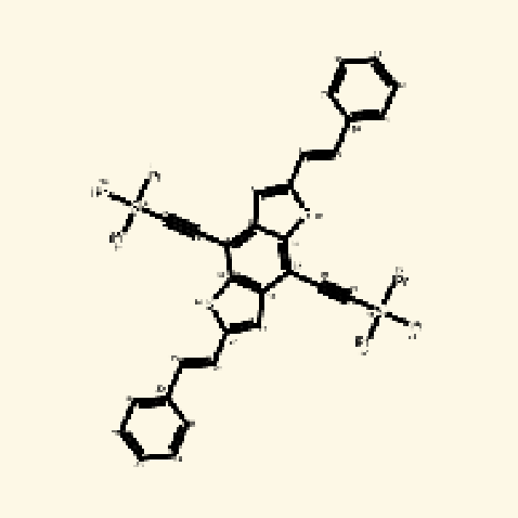 CC(C)[Si](C#Cc1c2cc(/C=C/c3ccccc3)sc2c(C#C[Si](C(C)C)(C(C)C)C(C)C)c2cc(/C=C/c3ccccc3)sc12)(C(C)C)C(C)C